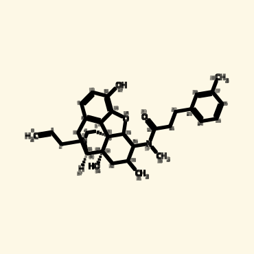 C=CCN1CC[C@]23c4c5ccc(O)c4OC2C(N(C)C(=O)CCc2cccc(C)c2)C(C)C[C@@]3(O)[C@H]1C5